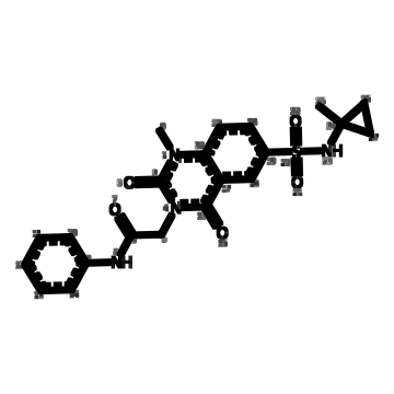 Cn1c(=O)n(CC(=O)Nc2ccccc2)c(=O)c2cc(S(=O)(=O)NC3(C)CC3)ccc21